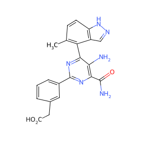 Cc1ccc2[nH]ncc2c1-c1nc(-c2cccc(CC(=O)O)c2)nc(C(N)=O)c1N